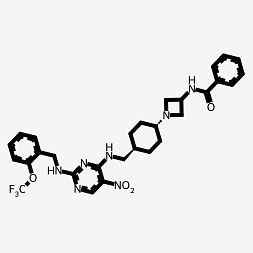 O=C(NC1CN([C@H]2CC[C@H](CNc3nc(NCc4ccccc4OC(F)(F)F)ncc3[N+](=O)[O-])CC2)C1)c1ccccc1